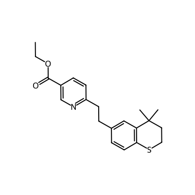 CCOC(=O)c1ccc(CCc2ccc3c(c2)C(C)(C)CCS3)nc1